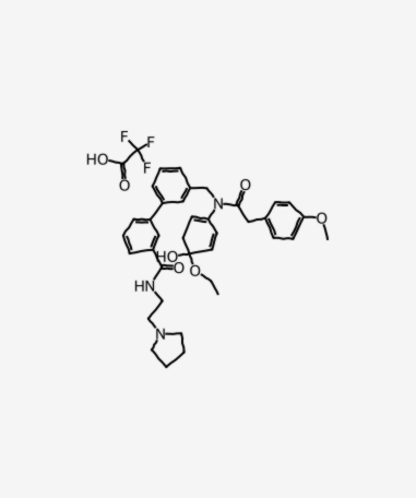 CCOC1(O)C=CC(N(Cc2cccc(-c3cccc(C(=O)NCCN4CCCC4)c3)c2)C(=O)Cc2ccc(OC)cc2)=CC1.O=C(O)C(F)(F)F